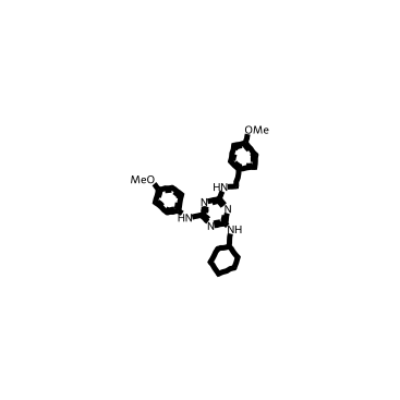 COc1ccc(CNc2nc(Nc3ccc(OC)cc3)nc(NC3CCCCC3)n2)cc1